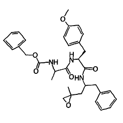 COc1ccc(C[C@H](NC(=O)C(C)NC(=O)OCc2ccccc2)C(=O)NC(Cc2ccccc2)CC2(C)CO2)cc1